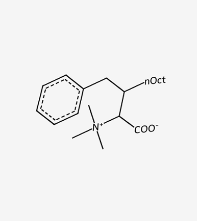 CCCCCCCCC(Cc1ccccc1)C(C(=O)[O-])[N+](C)(C)C